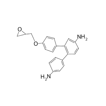 Nc1ccc(-c2ccc(N)cc2-c2ccc(OCC3CO3)cc2)cc1